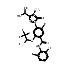 CC(O)c1nn(-c2cc(OC(C)C(F)(F)F)c(C(=O)Nc3c(F)cccc3Cl)cc2F)c(=O)n1C